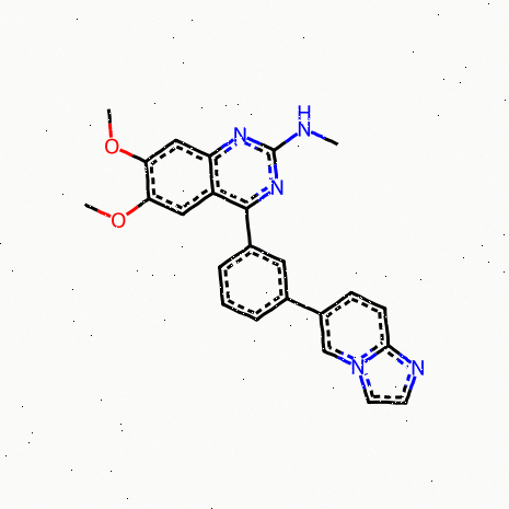 CNc1nc(-c2cccc(-c3ccc4nccn4c3)c2)c2cc(OC)c(OC)cc2n1